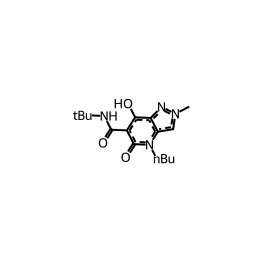 CCCCn1c(=O)c(C(=O)NC(C)(C)C)c(O)c2nn(C)cc21